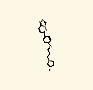 F[C@H]1CCN(CCCOc2ccc(-c3ccc4nncn4n3)cc2)C1